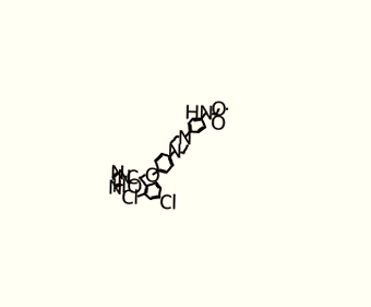 COC(=O)Nc1ccc(N2CCN(c3ccc(OCC(O)(Cn4cncn4)c4ccc(Cl)cc4Cl)cc3)CC2)cc1